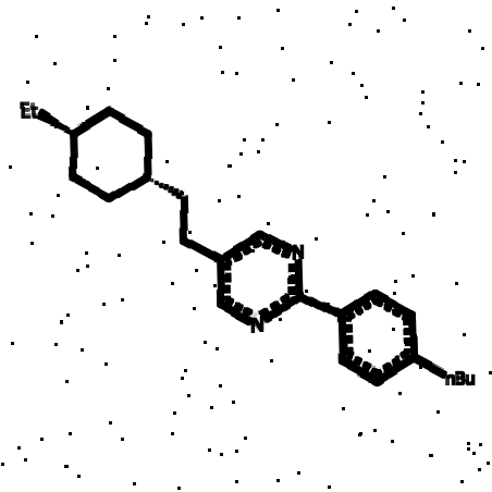 CCCCc1ccc(-c2ncc(CC[C@H]3CC[C@H](CC)CC3)cn2)cc1